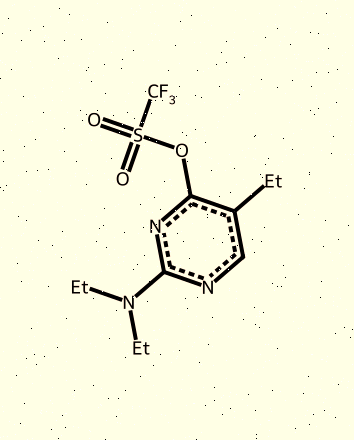 CCc1cnc(N(CC)CC)nc1OS(=O)(=O)C(F)(F)F